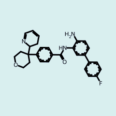 Nc1ccc(-c2ccc(F)cc2)cc1NC(=O)c1ccc(C2(C3CC=CC=N3)CCOCC2)cc1